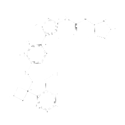 CCc1cccnc1C1(CNc2ccc(-c3ncc(NC(=O)CC4CCCO4)s3)nn2)CCC1